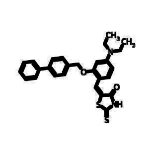 CCN(CC)c1ccc(C=C2SC(=S)NC2=O)c(OCc2ccc(-c3ccccc3)cc2)c1